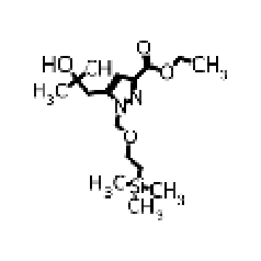 CCOC(=O)c1cc(CC(C)(C)O)n(COCC[Si](C)(C)C)n1